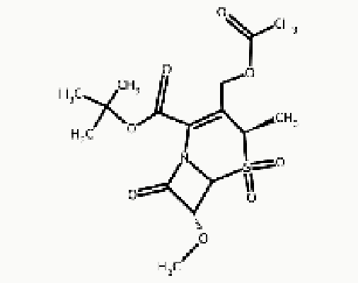 CO[C@@H]1C(=O)N2C(C(=O)OC(C)(C)C)=C(COC(C)=O)[C@@H](C)S(=O)(=O)C12